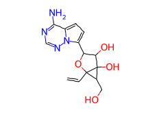 C=CC12OC(c3ccc4c(N)ncnn34)C(O)C1(O)C2CO